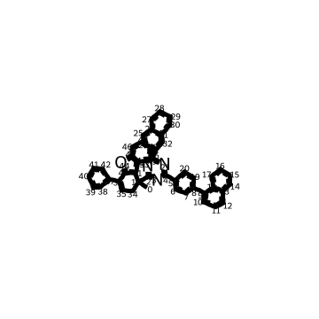 CC1(c2nc(-c3ccc(-c4cccc5ccccc45)cc3)nc(-c3ccc4ccccc4c3)n2)CC=C(c2ccccc2)c2oc3ccccc3c21